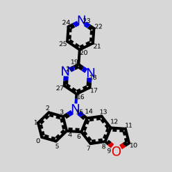 c1ccc2c(c1)c1cc3occc3cc1n2-c1cnc(-c2ccncc2)nc1